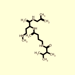 C=C(C)CNC(=C)C(CCNC)NC(=C)CCCNC(=O)C(C)C(C)C